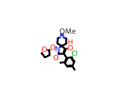 CON1CCC2(CC1)C(O)=C(c1c(C)cc(C)cc1Cl)C(=O)N2OC1CCCO1